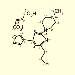 CC(C)CCc1cc(-c2ccsc2)cc(N2CCN(C)CC2)n1.O=C(O)C=CC(=O)O